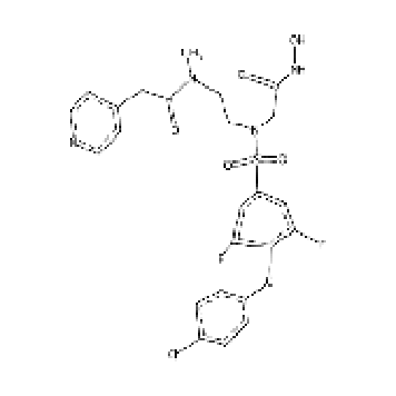 CN(CCN(CC(=O)NO)S(=O)(=O)c1cc(F)c(Oc2ccc(Cl)cc2)c(F)c1)C(=O)Cc1ccncc1